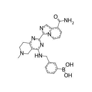 CN1CCc2nc(-c3ncc4c(C(N)=O)cccn34)nc(NCc3cccc(B(O)O)c3)c2C1